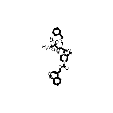 CC(C)(N)C(=O)N[C@H](COCc1ccccc1)c1nnc2n1CCN(C(=O)OCc1cnnc3ccccc13)C2